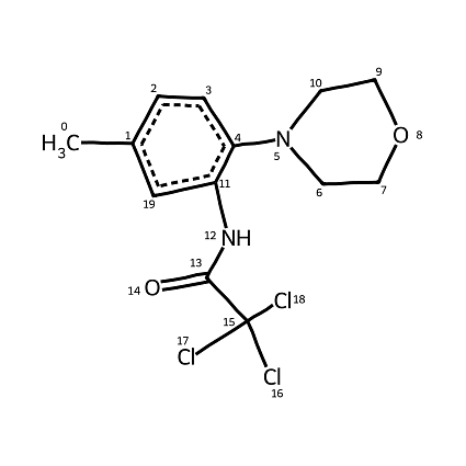 Cc1ccc(N2CCOCC2)c(NC(=O)C(Cl)(Cl)Cl)c1